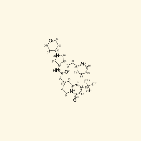 O=C(CN1CCn2c(cc(C(F)(F)F)cc2=O)C1)NC1CN(C2CCOCC2)C[C@@H]1CCc1ccccn1